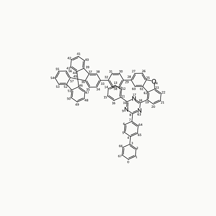 c1ccc(-c2ccc(-c3nc(-c4ccccc4)nc(-c4cccc5oc6ccc(-c7ccc(-c8ccc9c(c8)-c8ccccc8C98c9ccccc9-c9ccccc98)cc7)cc6c45)n3)cc2)cc1